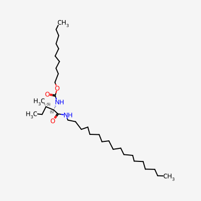 CCCCCCCCCCCCCCCCCCNC(=O)[C@@H](NC(=O)OCCCCCCCCCC)[C@@H](C)CC